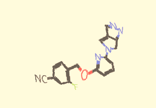 N#Cc1ccc(COc2cccc(N3C=C4C=NN=C4C3)n2)c(F)c1